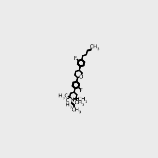 C/C=C/CCc1ccc(C2CCC(c3ccc(C4CC(C)(C)N(/C=C/C)C(C)(C)C4)c(F)c3)OC2)cc1F